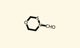 O=CN1CCOCS1